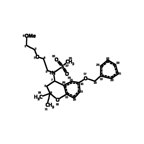 COCCOCCN(C1CC(C)(C)Oc2ccc(OCc3ccccc3)cc21)S(C)(=O)=O